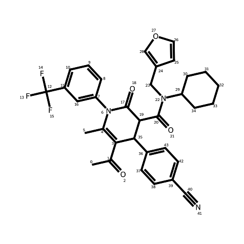 CC(=O)C1=C(C)N(c2cccc(C(F)(F)F)c2)C(=O)C(C(=O)N(Cc2ccoc2)C2CCCCC2)C1c1ccc(C#N)cc1